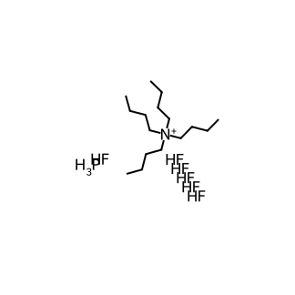 CCCC[N+](CCCC)(CCCC)CCCC.F.F.F.F.F.F.P